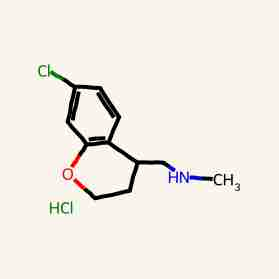 CNCC1CCOc2cc(Cl)ccc21.Cl